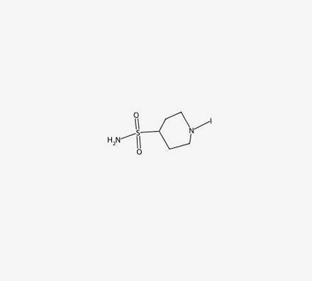 NS(=O)(=O)C1CCN(I)CC1